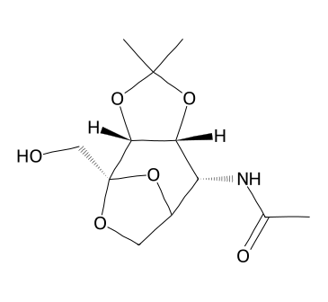 CC(=O)N[C@@H]1C2CO[C@](CO)(O2)[C@@H]2OC(C)(C)O[C@H]12